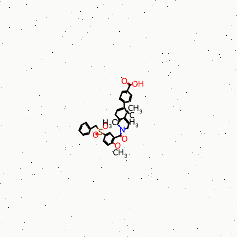 COc1ccc(S(=O)(=O)Cc2ccccc2)cc1C(=O)N1CC=C2C(C)(C)C(c3ccc(C(=O)O)cc3)=CC[C@]2(C)C1